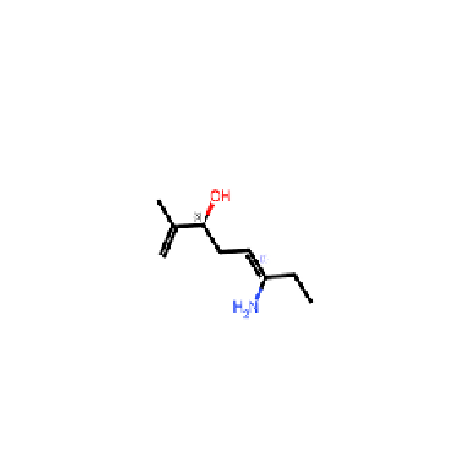 C=C(C)[C@@H](O)C/C=C(\N)CC